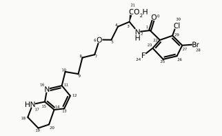 O=C(N[C@@H](CCOCCCCc1ccc2c(n1)NCCC2)C(=O)O)c1c(F)ccc(Br)c1Cl